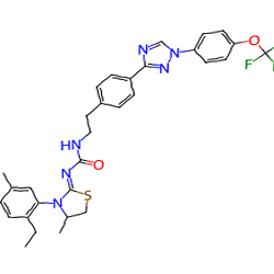 CCc1ccc(C)cc1N1/C(=N/C(=O)NCCc2ccc(-c3ncn(-c4ccc(OC(F)(F)F)cc4)n3)cc2)SCC1C